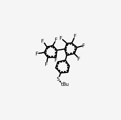 CC(C)(C)Sc1ccc(-c2c(F)c(F)c(F)c(F)c2-c2c(F)c(F)c(F)c(F)c2F)cc1